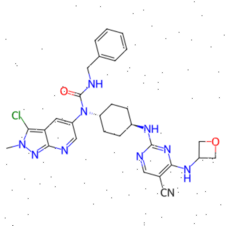 Cn1nc2ncc(N(C(=O)NCc3ccccc3)[C@H]3CC[C@H](Nc4ncc(C#N)c(NC5COC5)n4)CC3)cc2c1Cl